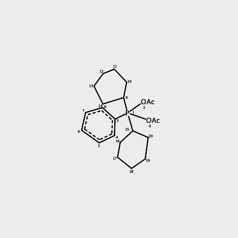 CC(=O)OP(OC(C)=O)(c1ccccc1)(C1CCCCC1)C1CCCCC1